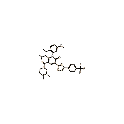 CCc1ccc(OC)cc1-n1c(CC(C)C)c(C(=O)N2CCN[C@H](C)C2)cc(-c2nc(-c3ccc(C(F)(F)F)cc3)cs2)c1=O